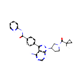 N#CC1(C(=O)N2CCC(n3nc(-c4ccc(C(=O)Nc5ccccn5)cc4)c4c(N)ncnc43)C2)CC1